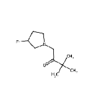 CC(C)(C)C(=O)CN1CCC(F)C1